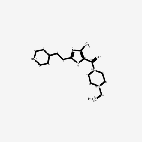 Cc1nc(CCC2CCNCC2)sc1C(=O)N1CCN(CC(=O)O)CC1